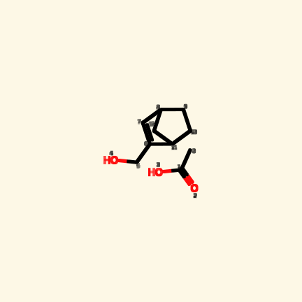 CC(=O)O.OCC1=CC2CCC1C2